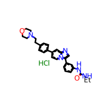 CCNC(=O)Nc1cccc(-c2cnc3cc(-c4ccc(CCN5CCOCC5)cc4)ccn23)c1.Cl